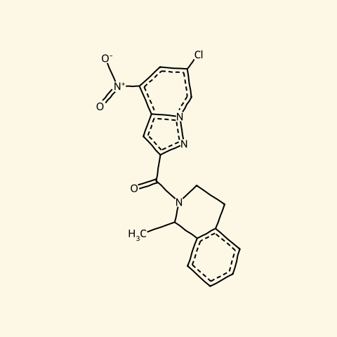 CC1c2ccccc2CCN1C(=O)c1cc2c([N+](=O)[O-])cc(Cl)cn2n1